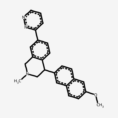 COc1ccc2cc(C3CN(C)Cc4cc(-c5cccnn5)ccc43)ccc2c1